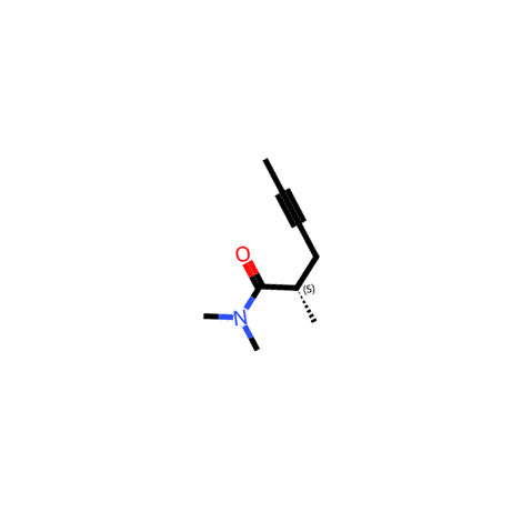 CC#CC[C@H](C)C(=O)N(C)C